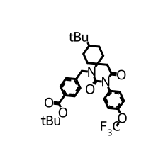 CC(C)(C)OC(=O)c1ccc(CN2C(=O)N(c3ccc(OC(F)(F)F)cc3)C(=O)CC23CCC(C(C)(C)C)CC3)cc1